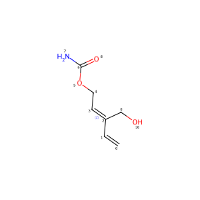 C=C/C(=C/COC(N)=O)CO